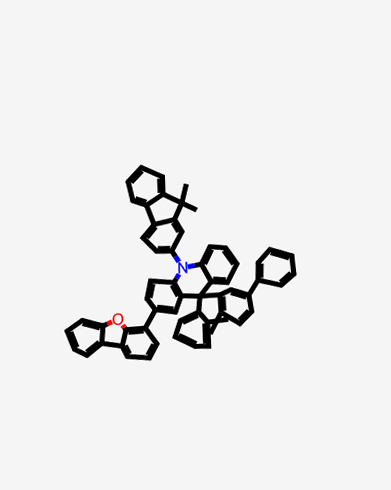 Cc1ccccc1C1(c2cc(-c3ccccc3)ccc2C)c2ccccc2N(c2ccc3c(c2)C(C)(C)c2ccccc2-3)c2ccc(-c3cccc4c3oc3ccccc34)cc21